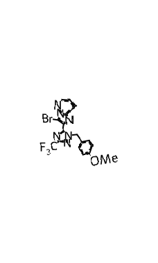 COc1ccc(Cn2nc(C(F)(F)F)nc2-c2nc3cccnn3c2Br)cc1